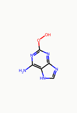 Nc1nc(OO)nc2nc[nH]c12